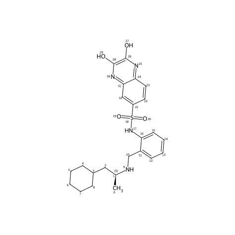 C[C@@H](CC1CCCCC1)NCc1ccccc1NS(=O)(=O)c1ccc2nc(O)c(O)nc2c1